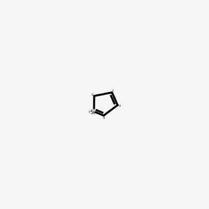 C1=CC[Si]=C1